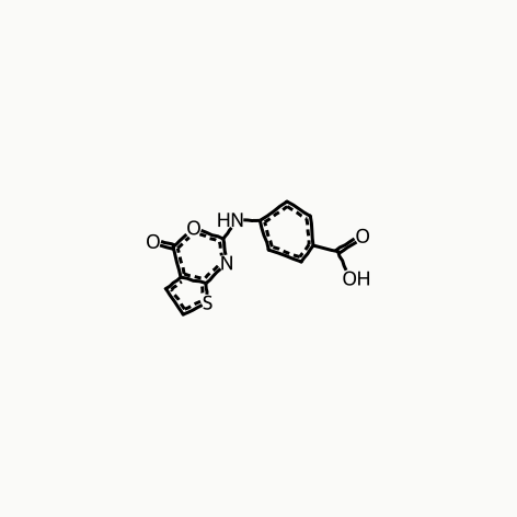 O=C(O)c1ccc(Nc2nc3sccc3c(=O)o2)cc1